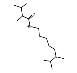 CC(C)C(C)C(=O)NCCCCCN(C)C(C)C